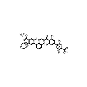 COC(=O)c1cc(F)c(-c2cccc3c2OCN(C(=O)c2c(Cl)cc(N4C[C@@H]5CC[C@H]4CN5C(=O)O)cc2Cl)C3)cc1N1C2CCC1COC2